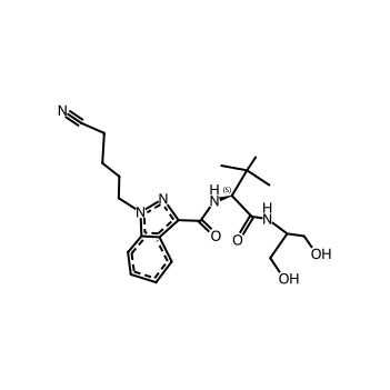 CC(C)(C)[C@H](NC(=O)c1nn(CCCCC#N)c2ccccc12)C(=O)NC(CO)CO